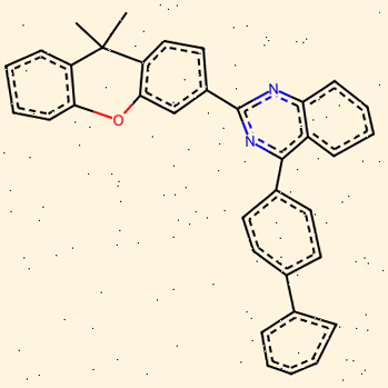 CC1(C)c2ccccc2Oc2cc(-c3nc(-c4ccc(-c5ccccc5)cc4)c4ccccc4n3)ccc21